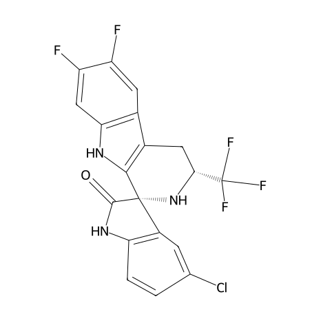 O=C1Nc2ccc(Cl)cc2[C@@]12N[C@@H](C(F)(F)F)Cc1c2[nH]c2cc(F)c(F)cc12